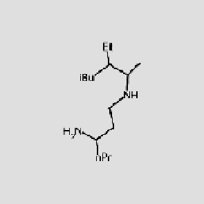 CCCC(N)CCNC(C)C(CC)C(C)CC